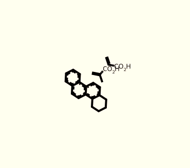 C=C(C)C(=O)O.C=CC(=O)O.c1ccc2c(c1)ccc1c3c(ccc12)CCCC3